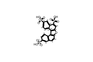 O=S(=O)(O)c1ccc2c(ccc3oc4cc(S(=O)(=O)O)c5cc(S(=O)(=O)O)ccc5c4c32)c1